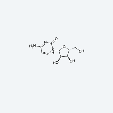 NC1=NC(=O)[SH]([C@@H]2O[C@H](CO)[C@@H](O)[C@H]2O)C=C1